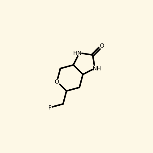 O=C1NC2COC(CF)CC2N1